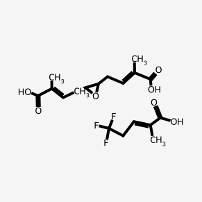 C/C(=C\CC(F)(F)F)C(=O)O.C/C(=C\CC1CO1)C(=O)O.C/C=C(\C)C(=O)O